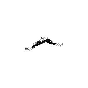 COc1cc2sc(C(F)(F)CCC(=O)O)cc2cc1CCCCc1cc2cc(C(F)(F)CCC(=O)O)sc2cc1OC